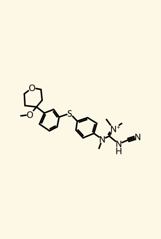 COC1(c2cccc(Sc3ccc(N(C)C(NC#N)=[N+](C)C)cc3)c2)CCOCC1